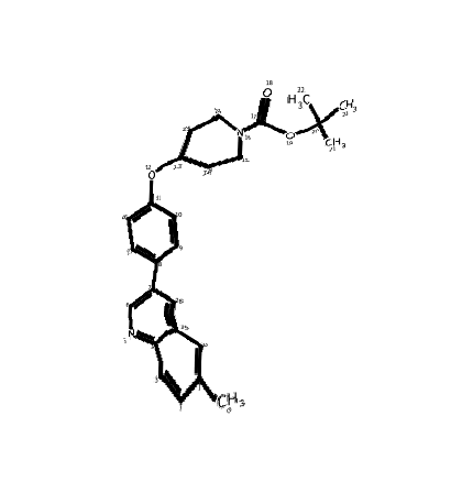 Cc1ccc2ncc(-c3ccc(OC4CCN(C(=O)OC(C)(C)C)CC4)cc3)cc2c1